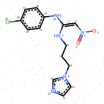 O=[N+]([O-])/C=C(\NCCCn1ccnc1)Nc1ccc(Cl)cc1